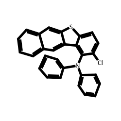 Clc1ccc2sc3cc4ccccc4cc3c2c1N(c1ccccc1)c1ccccc1